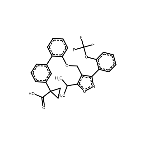 CC(C)c1onc(-c2ccccc2OC(F)(F)F)c1COc1ccccc1-c1cccc(C2(C(=O)O)CC2)c1